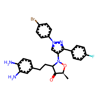 C[C@@H]1ON(c2cn(-c3ccc(Br)cc3)nc2-c2ccc(F)cc2)C(CCc2ccc(N)c(N)c2)C1=O